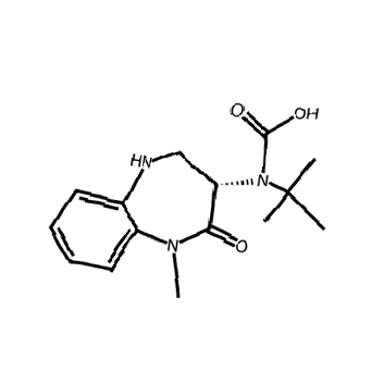 CN1C(=O)[C@@H](N(C(=O)O)C(C)(C)C)CNc2ccccc21